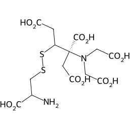 NC(CSSC(CC(=O)O)[C@@](CC(=O)O)(C(=O)O)N(CC(=O)O)CC(=O)O)C(=O)O